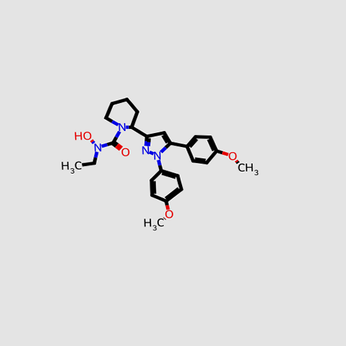 CCN(O)C(=O)N1CCCCC1c1cc(-c2ccc(OC)cc2)n(-c2ccc(OC)cc2)n1